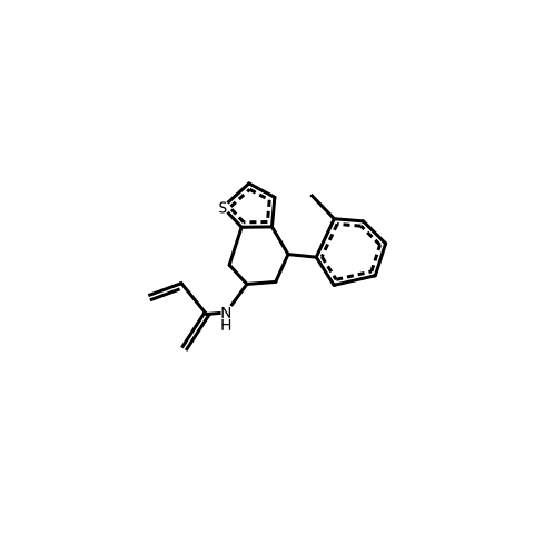 C=CC(=C)NC1Cc2sccc2C(c2ccccc2C)C1